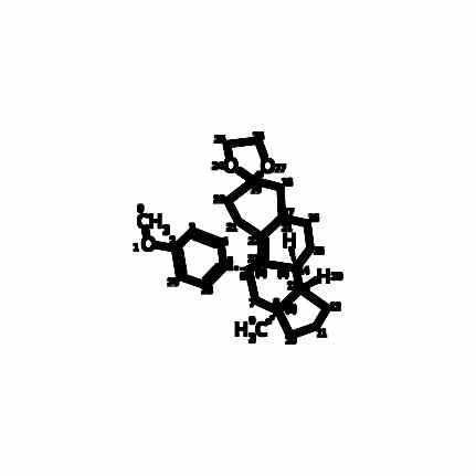 COc1ccc([C@H]2C[C@]3(C)CCC[C@H]3[C@@H]3CCC4CC5(CCC4=C32)OCCO5)cc1